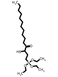 CCCCCCCCCCCC(=O)C(S)CC[Si](OCC)(OCC)OCC